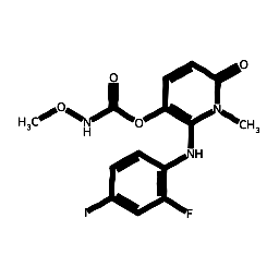 CONC(=O)Oc1ccc(=O)n(C)c1Nc1ccc(I)cc1F